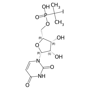 CC(C)(I)P(=O)(O)OC[C@H]1O[C@@H](n2ccc(=O)[nH]c2=O)[C@@H](O)[C@H]1O